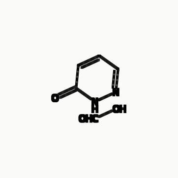 O=CO.O=c1cccn[nH]1